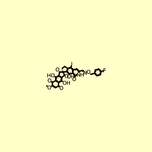 COC1=CC(=O)c2c(O)c3c(c(O)c2C1=O)C(=O)[C@]1(CCc2c1c(O)c1c(=O)[nH]c(/C=N/OCc4ccc(F)cc4)cc1c2I)C3=O